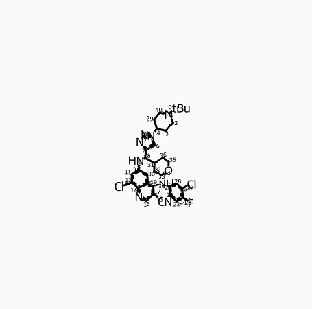 CC(C)(C)N1CCC(n2cc(C(Nc3cc(Cl)c4ncc(C#N)c(Nc5ccc(F)c(Cl)c5)c4c3)C3CCOCC3)nn2)CC1